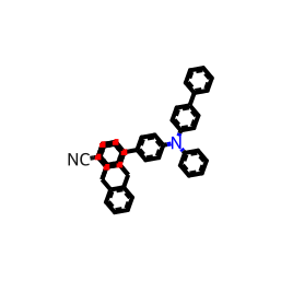 N#Cc1ccc(-c2ccc(N(c3ccccc3)c3ccc(-c4ccccc4)cc3)cc2)c2c1C1c3ccccc3C2c2ccccc21